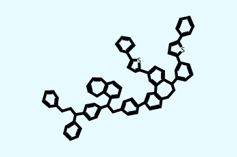 C1#CCc2c(cccc2C(Cc2ccc(-c3ccc4c(c3)-c3cc(-c5ccc(-c6ccccc6)s5)ccc3C(c3cccc(-c5ccc(-c6ccccc6)s5)c3)CC4)cc2)c2ccc(C(CCc3ccccc3)c3ccccc3)cc2)C=C1